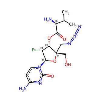 CC(C)[C@H](N)C(=O)O[C@H]1[C@@H](F)[C@H](n2ccc(N)nc2=O)O[C@@]1(CO)CN=[N+]=[N-]